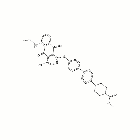 CCNc1cccc2c1C(=O)c1c(O)ccc(Sc3ccc(-c4ccc(C5CCC(C(=O)OC)CC5)cc4)cc3)c1C2=O